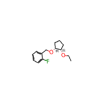 CCO[C@H]1CCC[C@H]1OCc1ccccc1F